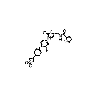 O=C(NCC1CN(c2ccc(N3CCC(C4CS(=O)(=O)C4)CC3)c(F)c2)C(=O)O1)c1ccco1